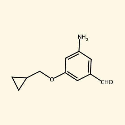 Nc1cc(C=O)cc(OCC2CC2)c1